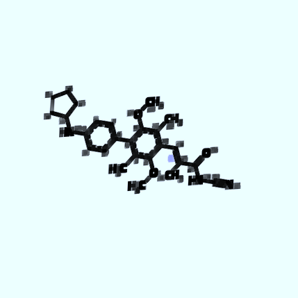 COc1c(C)c(-c2ccc(NC3CCCC3)cc2)c(OC)c(C)c1/C=C(\C)C(=O)NC#N